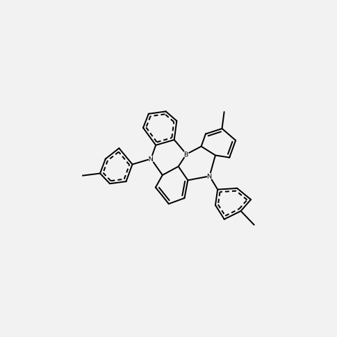 CC1=CC2B3c4ccccc4N(c4ccc(C)cc4)C4C=CC=C(C34)N(c3ccc(C)cc3)C2C=C1